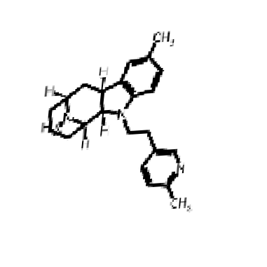 Cc1ccc2c(c1)[C@H]1C[C@H]3CCC[C@@H]([C@H]1N2CCc1ccc(C)nc1)N3C